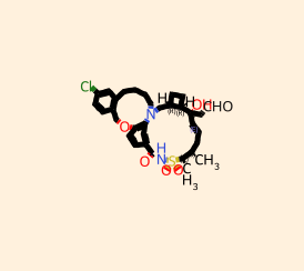 C[C@@H]1[C@@H](C)C/C=C/[C@](O)(CC=O)[C@@H]2CC[C@H]2CN2CCCCc3cc(Cl)ccc3COc3ccc(cc32)C(=O)NS1(=O)=O